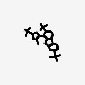 CC1=C(c2c(C(C)(C)C)ccc3c2[CH]c2cc(C(C)(C)C)ccc2-3)CC(C(C)(C)C)=C1